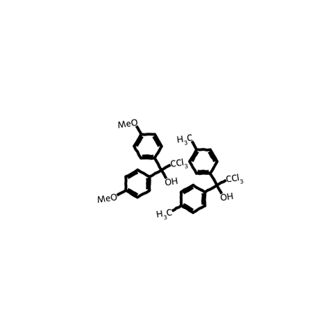 COc1ccc(C(O)(c2ccc(OC)cc2)C(Cl)(Cl)Cl)cc1.Cc1ccc(C(O)(c2ccc(C)cc2)C(Cl)(Cl)Cl)cc1